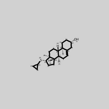 C[C@]12CC[C@H]3[C@@H](CC=C4C[C@@H](O)CC[C@@]43C)[C@@H]1CC[C@@H]2SC1CC1